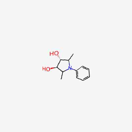 CC1[C@@H](O)[C@H](O)C(C)N1c1ccccc1